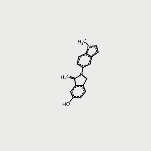 C=C1c2cc(O)ccc2CN1c1ccc2c(ccn2C)c1